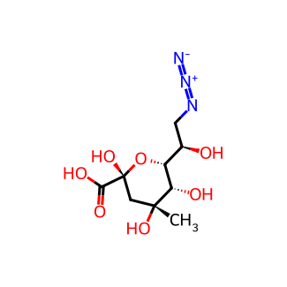 C[C@@]1(O)C[C@](O)(C(=O)O)O[C@H]([C@H](O)CN=[N+]=[N-])[C@@H]1O